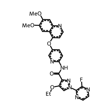 CCOc1cn(-c2nccnc2F)nc1C(=O)Nc1ccc(Oc2ccnc3cc(OC)c(OC)cc23)cn1